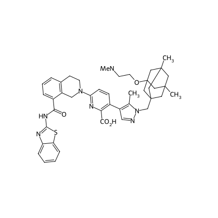 CNCCOC12CC3(C)CC(C)(CC(Cn4ncc(-c5ccc(N6CCc7cccc(C(=O)Nc8nc9ccccc9s8)c7C6)nc5C(=O)O)c4C)(C3)C1)C2